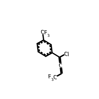 FC(F)(F)C=C=C(Cl)c1cccc(C(F)(F)F)c1